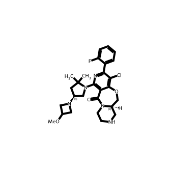 COC1CN([C@@H]2CN(c3nc(-c4ccccc4F)c(Cl)c4c3C(=O)N3CCNC[C@@H]3CO4)C(C)(C)C2)C1